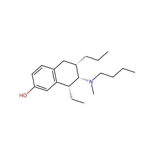 CCCCN(C)[C@H]1[C@@H](CCC)Cc2ccc(O)cc2[C@H]1CC